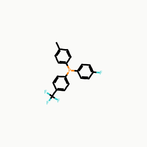 Cc1ccc(P(c2ccc(F)cc2)c2ccc(C(F)(F)F)cc2)cc1